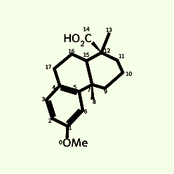 COc1ccc2c(c1)[C@@]1(C)CCC[C@](C)(C(=O)O)C1CC2